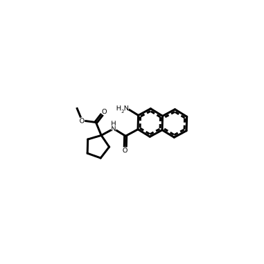 COC(=O)C1(NC(=O)c2cc3ccccc3cc2N)CCCC1